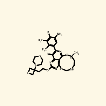 Cc1c(F)c(N)cc(-c2nc3c4c(nc(OCCC5(N6CCOCC6)COC5)nc4c2F)NCNCC[C@H](C)O3)c1C(F)(F)F